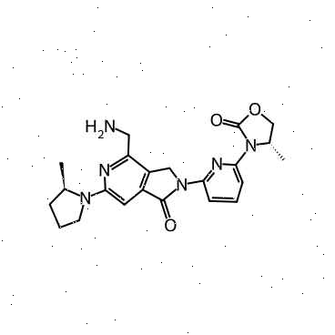 C[C@@H]1CCCN1c1cc2c(c(CN)n1)CN(c1cccc(N3C(=O)OC[C@@H]3C)n1)C2=O